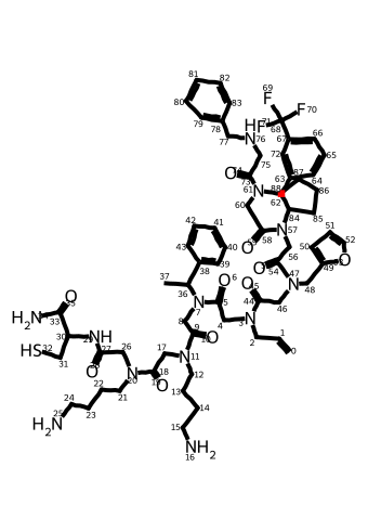 C=CCN(CC(=O)N(CC(=O)N(CCCCN)CC(=O)N(CCCCN)CC(=O)NC(CS)C(N)=O)C(C)c1ccccc1)C(=O)CN(Cc1ccco1)C(=O)CN(C(=O)CN(Cc1cccc(C(F)(F)F)c1)C(=O)CNCc1ccccc1)C1CCCC1